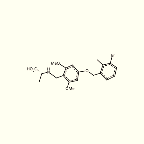 COc1cc(OCc2cccc(Br)c2C)cc(OC)c1CN[C@H](C)C(=O)O